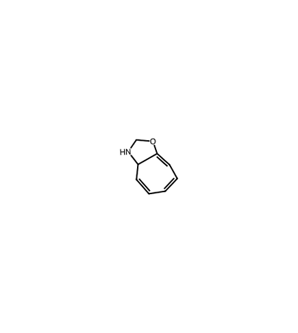 C1=CC=C2OCNC2C=C1